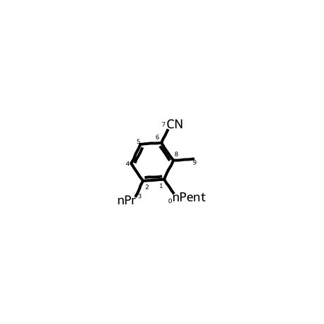 CCCCCc1c(CCC)ccc(C#N)c1C